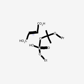 CCOP(=O)(O)OC(C)(C)OC(C)C.O=C(O)/C=C/C(=O)O